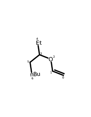 C=COC(CC)CCCCC